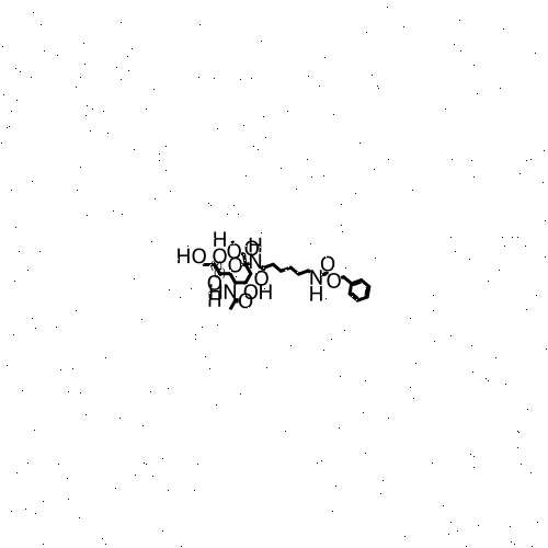 COC(=O)C1(NC(=O)CCCCCNC(=O)OCc2ccccc2)CC(O)C(NC(C)=O)C([C@@H](O)[C@H](O)CO)O1